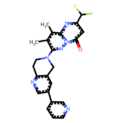 Cc1c(N2CCc3ncc(-c4cccnc4)cc3C2)nn2c(=O)cc(C(F)F)nc2c1C